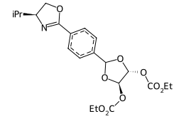 CCOC(=O)O[C@H]1OC(c2ccc(C3=N[C@@H](C(C)C)CO3)cc2)O[C@@H]1OC(=O)OCC